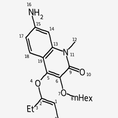 CC=C(CC)Oc1c(OCCCCCC)c(=O)n(C)c2cc(N)ccc12